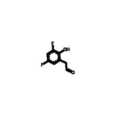 O=CCc1cc(F)cc(F)c1O